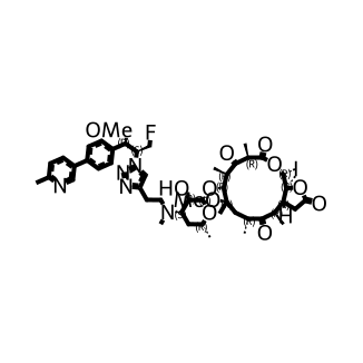 CO[C@H](c1ccc(-c2ccc(C)nc2)cc1)[C@@H](CF)n1cc(CCN(C)[C@H]2C[C@@H](C)O[C@@H](O[C@@H]3[C@@H](C)C(=O)[C@@H](C)C(=O)O[C@H](I)[C@@]4(C)OC(=O)C[C@@H]4[C@@H](C)C(=O)[C@H](C)C[C@@]3(C)OC)[C@@H]2O)nn1